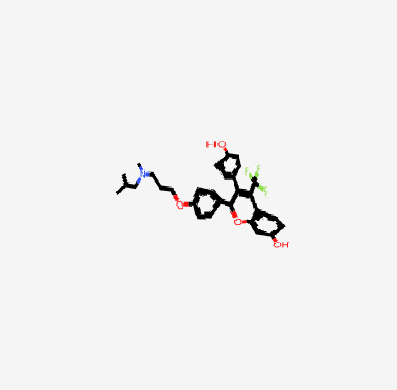 CC(C)CN(C)CCCOc1ccc(C2Oc3cc(O)ccc3C(C(F)(F)F)=C2c2ccc(O)cc2)cc1